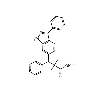 COC(=O)C(C)(C)C(c1ccccc1)c1ccc2c(-c3ccccc3)n[nH]c2c1